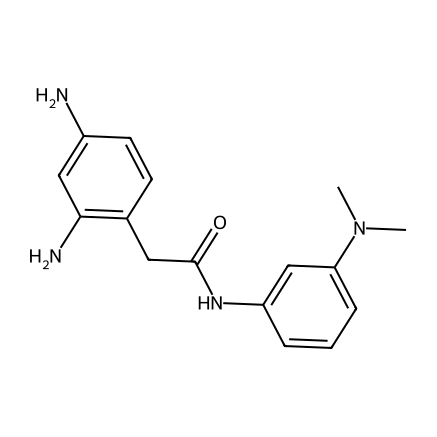 CN(C)c1cccc(NC(=O)Cc2ccc(N)cc2N)c1